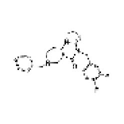 O=C1C2=C(CCN(Cc3ccccc3)C2)N2CCN=C2N1Cc1ccc(F)c(F)c1